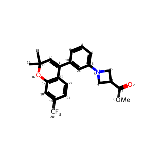 COC(=O)C1CN(c2cccc(C3=CC(C)(C)Oc4cc(C(F)(F)F)ccc43)c2)C1